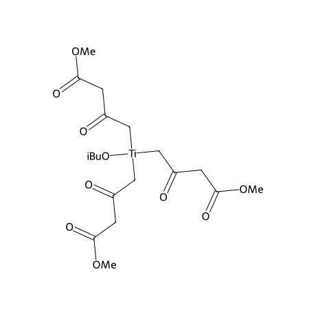 COC(=O)CC(=O)[CH2][Ti]([CH2]C(=O)CC(=O)OC)([CH2]C(=O)CC(=O)OC)[O]CC(C)C